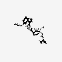 CON[C@@H](CC[C@@H]1CCN(CCSC2CCCC2)C[C@@H]1C(=O)O)c1ccnc2ccc(OC)cc12